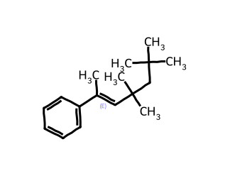 C/C(=C\C(C)(C)CC(C)(C)C)c1ccccc1